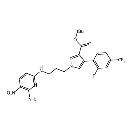 CC(C)(C)OC(=O)c1cn(CCCNc2ccc([N+](=O)[O-])c(N)n2)cc1-c1ccc(C(F)(F)F)cc1F